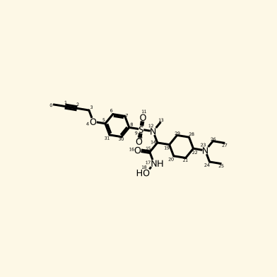 CC#CCOc1ccc(S(=O)(=O)N(C)C(C(=O)NO)C2CCC(N(CC)CC)CC2)cc1